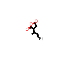 CC/C=C/C(C)C1CC(=O)OC1=O